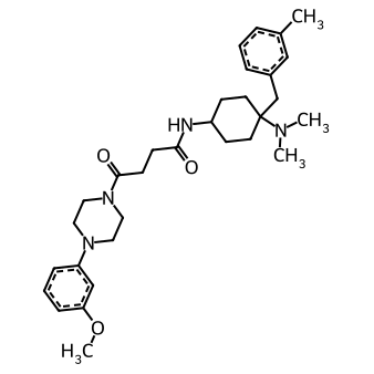 COc1cccc(N2CCN(C(=O)CCC(=O)NC3CCC(Cc4cccc(C)c4)(N(C)C)CC3)CC2)c1